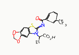 CCC(C(=O)O)n1c(=NC(=O)c2cccc(C(F)(F)F)c2)sc2cc3c(cc21)OCO3